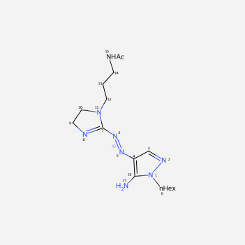 CCCCCCn1ncc(/N=N/C2=NCCN2CCCNC(C)=O)c1N